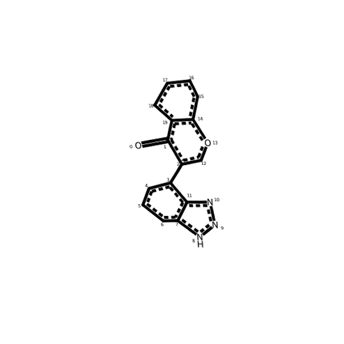 O=c1c(-c2cccc3[nH]nnc23)coc2ccccc12